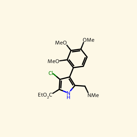 CCOC(=O)c1[nH]c(CNC)c(-c2ccc(OC)c(OC)c2OC)c1Cl